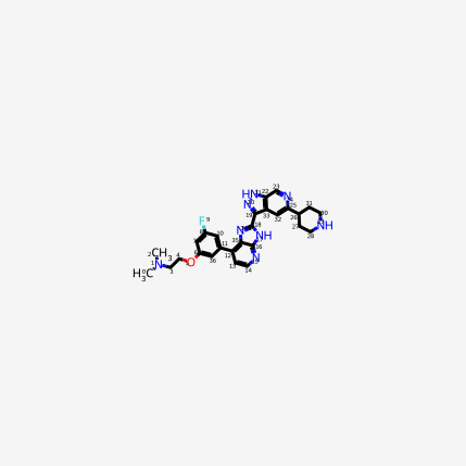 CN(C)CCOc1cc(F)cc(-c2ccnc3[nH]c(-c4n[nH]c5cnc(C6CCNCC6)cc45)nc23)c1